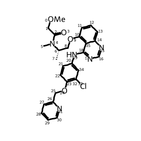 COCC(=O)N(C)[C@@H](C)COc1cccc2ncnc(Nc3ccc(OCc4ccccn4)c(Cl)c3)c12